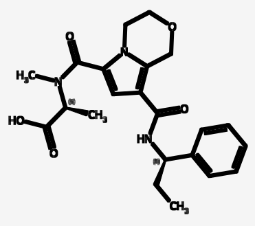 CC[C@@H](NC(=O)c1cc(C(=O)N(C)[C@@H](C)C(=O)O)n2c1COCC2)c1ccccc1